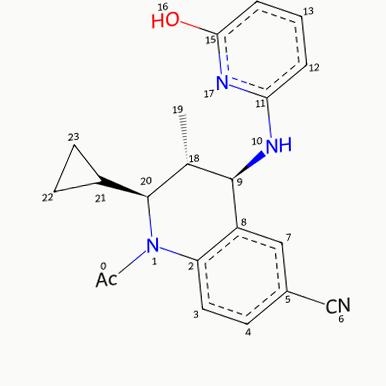 CC(=O)N1c2ccc(C#N)cc2[C@H](Nc2cccc(O)n2)[C@@H](C)[C@@H]1C1CC1